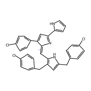 Clc1ccc(Cc2cc(Cc3ccc(Cl)cc3)c(/C=C3\N=C(c4ccc[nH]4)C=C3c3ccc(Cl)cc3)[nH]2)cc1